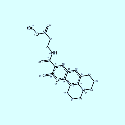 CC(C)(C)OC(=O)CCNC(=O)c1cc2cc3c4c(c2oc1=O)CCCN4CCC3